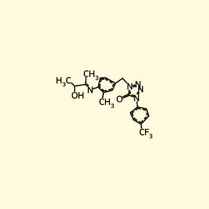 C/C(=N\c1ccc(Cn2nnn(-c3ccc(C(F)(F)F)cc3)c2=O)cc1C)C(C)O